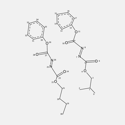 CC(C)COC(=O)N=NC(=O)Oc1ccccc1.CCCCOC(=O)N=NC(=O)Oc1ccccc1